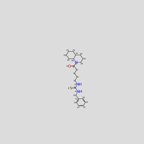 O=C(CCCCNC(=S)NCc1ccccc1)N1CCCC2CCCCC21